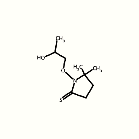 CC(O)CON1C(=S)CCC1(C)C